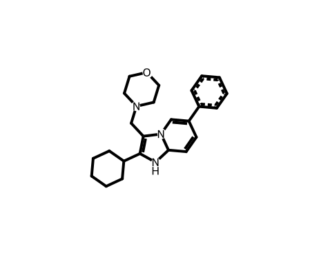 C1=CC2NC(C3CCCCC3)=C(CN3CCOCC3)N2C=C1c1ccccc1